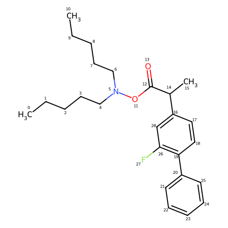 CCCCCN(CCCCC)OC(=O)C(C)c1ccc(-c2ccccc2)c(F)c1